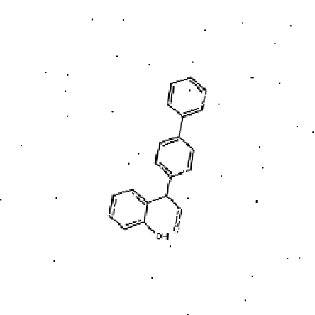 O=CC(c1ccc(-c2ccccc2)cc1)c1ccccc1O